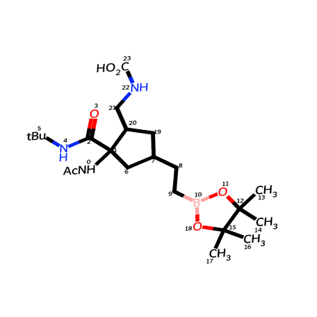 CC(=O)NC1(C(=O)NC(C)(C)C)CC(CCB2OC(C)(C)C(C)(C)O2)CC1CNC(=O)O